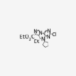 CCOC(=O)c1ncn2c1[C@@H](CC)N(C1CCCC1)c1nc(Cl)ncc1-2